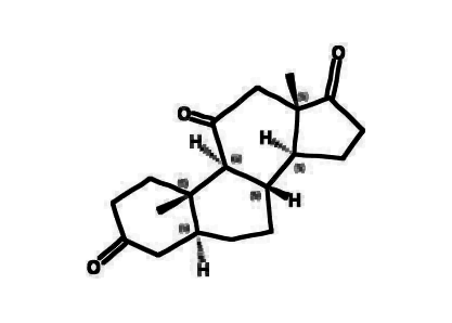 C[C@]12CCC(=O)C[C@@H]1CC[C@@H]1[C@@H]2C(=O)C[C@]2(C)C(=O)CC[C@@H]12